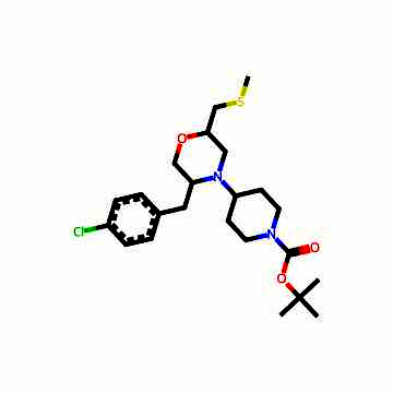 CSCC1CN(C2CCN(C(=O)OC(C)(C)C)CC2)C(Cc2ccc(Cl)cc2)CO1